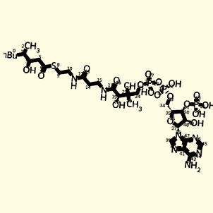 CCCCC(C)C(O)CC(=O)SCCNC(=O)CCNC(=O)[C@H](O)C(C)(C)COP(=O)(O)OP(=O)(O)OC[C@H]1O[C@@H](n2cnc3c(N)ncnc32)[C@H](O)[C@@H]1OP(=O)(O)O